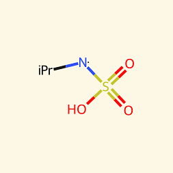 CC(C)[N]S(=O)(=O)O